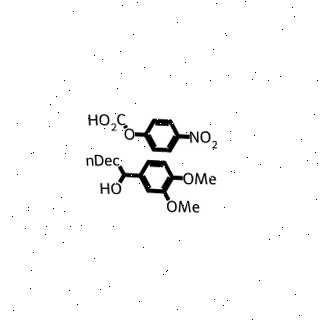 CCCCCCCCCCC(O)c1ccc(OC)c(OC)c1.O=C(O)Oc1ccc([N+](=O)[O-])cc1